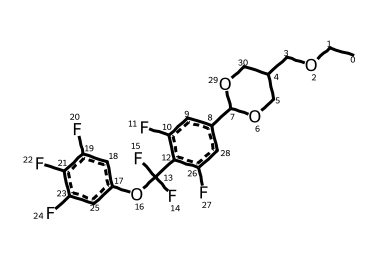 CCOCC1COC(c2cc(F)c(C(F)(F)Oc3cc(F)c(F)c(F)c3)c(F)c2)OC1